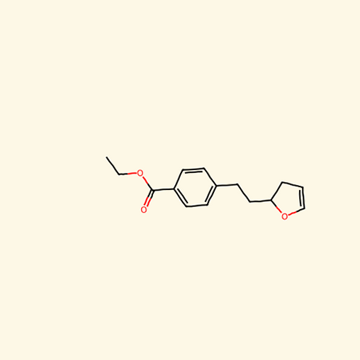 CCOC(=O)c1ccc(CCC2CC=CO2)cc1